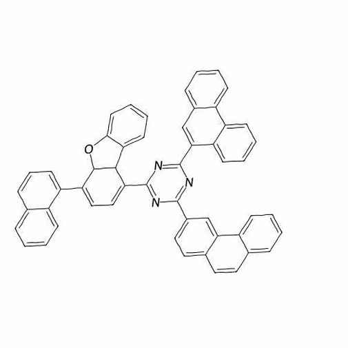 C1=C(c2cccc3ccccc23)C2Oc3ccccc3C2C(c2nc(-c3ccc4ccc5ccccc5c4c3)nc(-c3cc4ccccc4c4ccccc34)n2)=C1